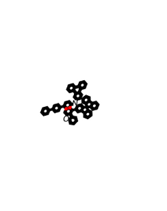 c1ccc(-c2ccc(-c3ccc(N(c4ccc5c6ccccc6c6ccccc6c5c4)c4cc5c(cc4-c4cccc6oc7ccccc7c46)-c4ccccc4C54c5ccccc5-c5ccccc54)cc3)cc2)cc1